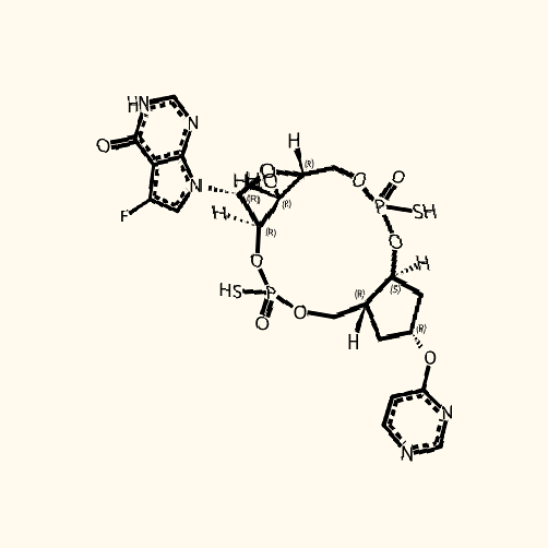 O=c1[nH]cnc2c1c(F)cn2[C@@H]1O[C@@H]2COP(=O)(S)O[C@H]3C[C@H](Oc4ccncn4)C[C@@H]3COP(=O)(S)O[C@@H]1[C@@H]2O